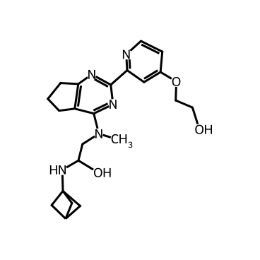 CN(CC(O)NC12CC(C1)C2)c1nc(-c2cc(OCCO)ccn2)nc2c1CCC2